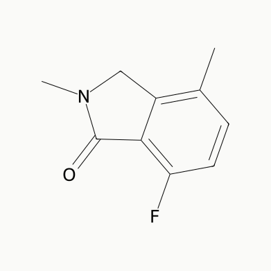 Cc1ccc(F)c2c1CN(C)C2=O